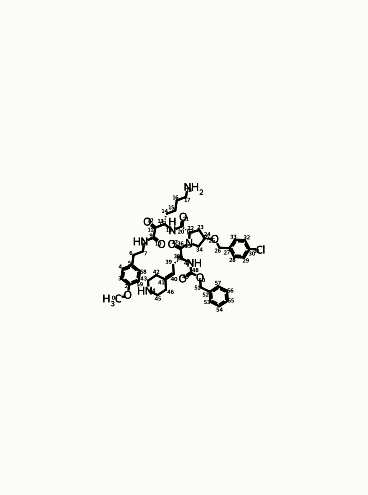 COc1ccc(CCNC(=O)C(=O)[C@H](CCCCN)NC(=O)[C@@H]2C[C@@H](OCc3ccc(Cl)cc3)CN2C(=O)[C@@H](CC=C2CCNCC2)NC(=O)OCc2ccccc2)cc1